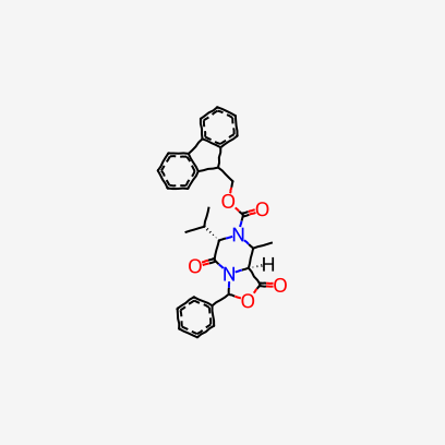 CC(C)[C@H]1C(=O)N2C(c3ccccc3)OC(=O)[C@@H]2C(C)N1C(=O)OCC1c2ccccc2-c2ccccc21